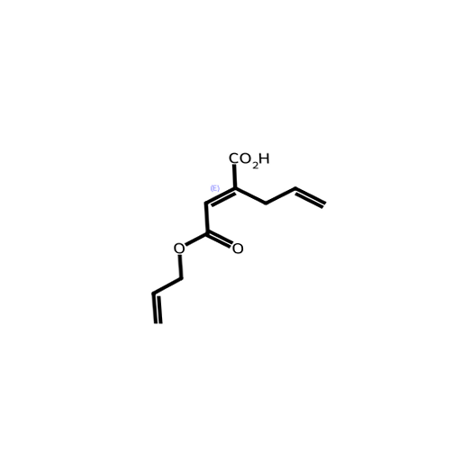 C=CCOC(=O)/C=C(\CC=C)C(=O)O